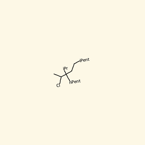 CCCCCC(CCC(C)CCC)(C(C)C)C(C)Cl